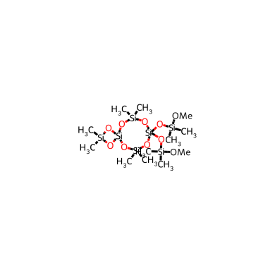 CO[Si](C)(C)O[Si]1(O[Si](C)(C)OC)O[Si](C)(C)O[Si]2(O[Si](C)(C)O1)O[Si](C)(C)O2